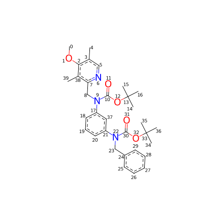 COc1c(C)cnc(CN(C(=O)OC(C)(C)C)c2cccc(N(Cc3ccccc3)C(=O)OC(C)(C)C)c2)c1C